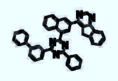 c1ccc(-c2cccc(-c3nc(-c4ccccc4)nc(-c4cc(-c5ncnc6c5Cc5ccccc5-6)cc5ccccc45)n3)c2)cc1